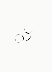 Cc1c(N)ccc2c1CCCO2